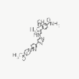 COc1cc(C(N)=O)ccc1C(C)CNc1cc(-c2ccc(N3CCN(C(C)=O)CC3)nc2)ncn1